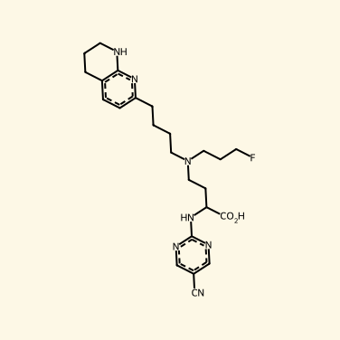 N#Cc1cnc(NC(CCN(CCCF)CCCCc2ccc3c(n2)NCCC3)C(=O)O)nc1